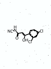 N#CNC(=O)C=C(O)c1ccc(Cl)cc1Cl